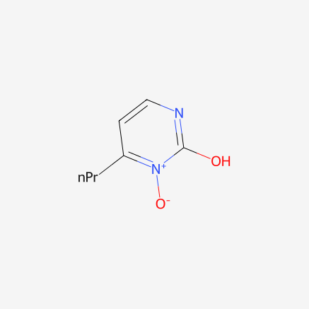 CCCc1ccnc(O)[n+]1[O-]